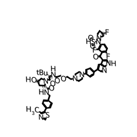 Cc1ncsc1-c1ccc(CNC(=O)[C@@H]2C[C@@H](O)CN2C(=O)[C@@H](NC(=O)COCCN2CCN(c3ccc(-c4cnc5[nH]cc(C(=O)c6c(F)ccc(N(N7CC[C@@H](F)C7)[SH](=O)=O)c6F)c5c4)cc3)CC2)C(C)(C)C)cc1